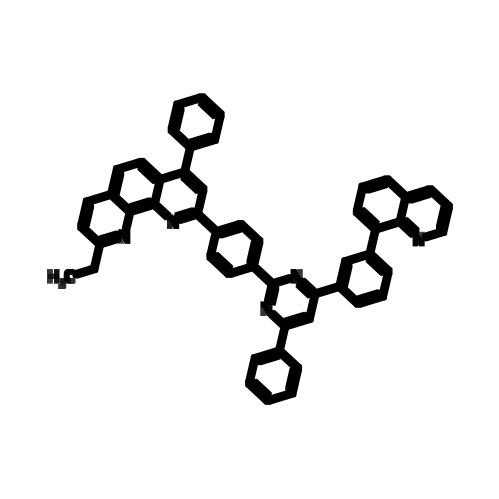 CCc1ccc2ccc3c(-c4ccccc4)cc(-c4ccc(-c5nc(-c6ccccc6)cc(-c6cccc(-c7cccc8cccnc78)c6)n5)cc4)nc3c2n1